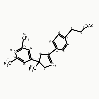 CC(=O)OCCc1ccc(C2=NCC(c3cc(C(F)(F)F)nc(C(F)(F)F)c3)(C(F)(F)F)C2)cc1